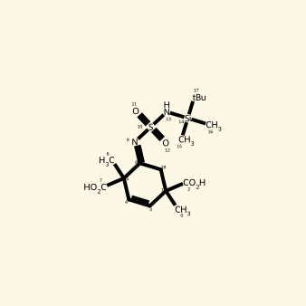 CC1(C(=O)O)C=CC(C)(C(=O)O)C(=NS(=O)(=O)N[Si](C)(C)C(C)(C)C)C1